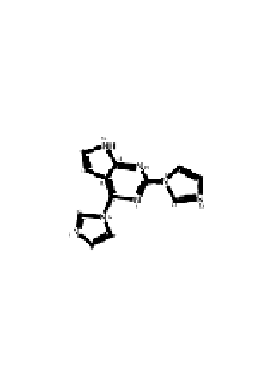 c1cn(-c2nc(-n3ccnc3)c3cc[nH]c3n2)cn1